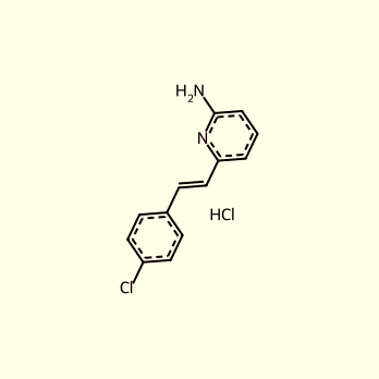 Cl.Nc1cccc(C=Cc2ccc(Cl)cc2)n1